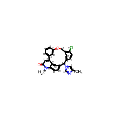 Cc1cn([C@@H]2c3ccc(Cl)c(c3)COc3cccc(c3)-c3cc(=O)n(C)c4ccc2cc34)cn1